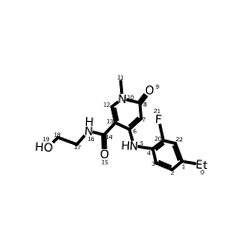 CCc1ccc(Nc2cc(=O)n(C)cc2C(=O)NCCO)c(F)c1